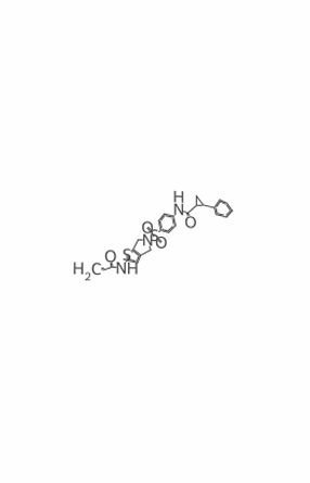 C=CC(=O)Nc1cc2c(s1)CN(S(=O)(=O)c1ccc(NC(=O)C3CC3c3ccccc3)cc1)C2